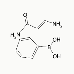 NC=CC(N)=O.OB(O)c1ccccc1